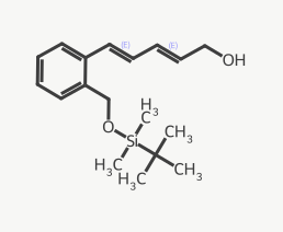 CC(C)(C)[Si](C)(C)OCc1ccccc1/C=C/C=C/CO